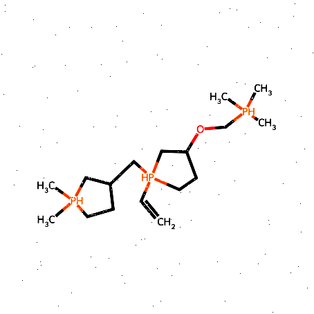 C=C[PH]1(CC2CC[PH](C)(C)C2)CCC(OC[PH](C)(C)C)C1